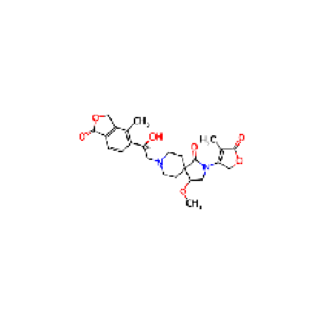 COC1CN(C2=C(C)C(=O)OC2)C(=O)C12CCN(C[C@H](O)c1ccc3c(c1C)COC3=O)CC2